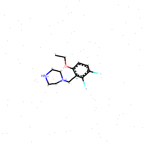 CCOc1ccc(F)c(F)c1CN1CCNCC1